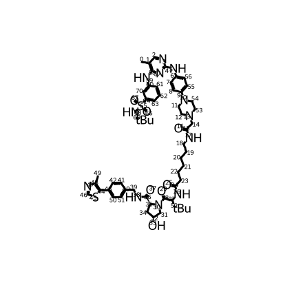 Cc1cnc(Nc2ccc(N3CCN(CC(=O)NCCCCCCC(=O)NC(C(=O)N4C[C@H](O)C[C@H]4C(=O)NCc4ccc(-c5scnc5C)cc4)C(C)(C)C)CC3)cc2)nc1Nc1cccc(S(=O)(=O)NC(C)(C)C)c1